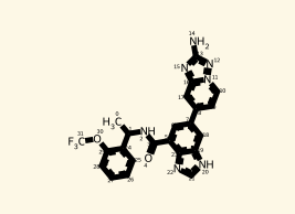 CC(NC(=O)c1cc(-c2ccn3nc(N)nc3c2)cc2[nH]cnc12)c1ccccc1OC(F)(F)F